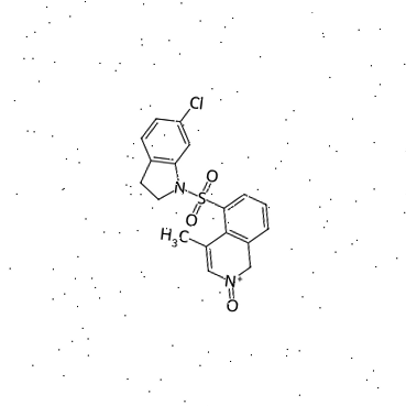 CC1=C[N+](=O)Cc2cccc(S(=O)(=O)N3CCc4ccc(Cl)cc43)c21